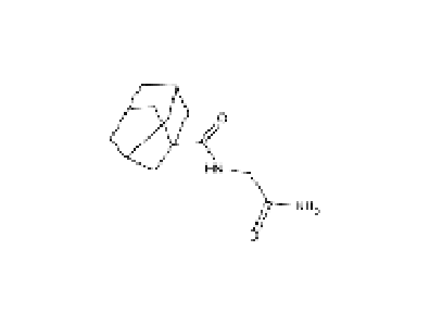 NC(=O)CNC(=O)C12CC3CC(CC(C3)C1)C2